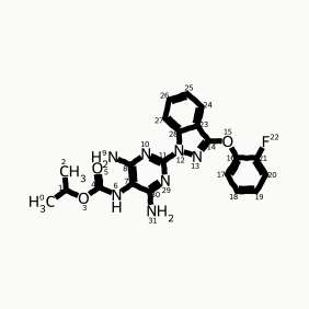 CC(C)OC(=O)Nc1c(N)nc(-n2nc(Oc3ccccc3F)c3ccccc32)nc1N